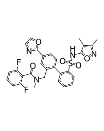 Cc1noc(NS(=O)(=O)c2ccccc2-c2ccc(-c3ncco3)cc2CN(C)C(=O)c2c(F)cccc2F)c1C